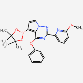 COc1cccc(-c2nc(Oc3ccccc3)c3c(B4OC(C)(C)C(C)(C)O4)ccn3n2)n1